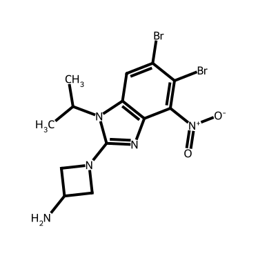 CC(C)n1c(N2CC(N)C2)nc2c([N+](=O)[O-])c(Br)c(Br)cc21